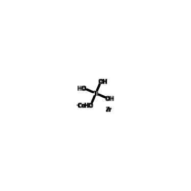 [Co].[OH][Ti]([OH])([OH])[OH].[Zr]